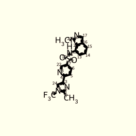 Cc1nc(-c2ccc(S(=O)(=O)Nc3cccc4cnn(C)c34)cn2)cn1C(F)(F)F